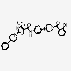 O=C(Nc1ccc(N2CCN(C(=O)c3ccccc3O)CC2)nc1)c1oc(N2CCC(c3ccccc3)CC2)nc1C(F)(F)F